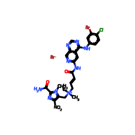 Cn1c(C(N)=O)nc([N+](=O)[O-])c1C[N+](C)(C)C/C=C/C(=O)Nc1cc2c(Nc3ccc(Cl)c(Br)c3)ncnc2cn1.[Br-]